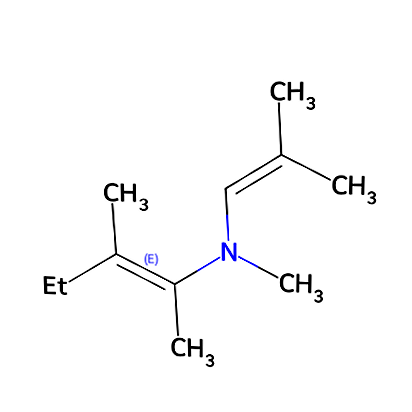 CC/C(C)=C(\C)N(C)C=C(C)C